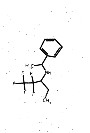 CCC(NC(C)c1ccccc1)C(F)(F)C(F)(F)F